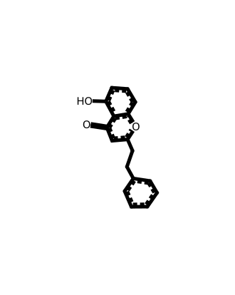 O=c1cc(CCc2ccccc2)oc2cccc(O)c12